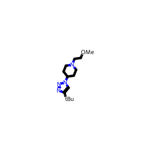 COCCN1CCC(n2cc(C(C)(C)C)nn2)CC1